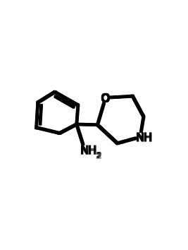 NC1(C2CNCCO2)C=CC=CC1